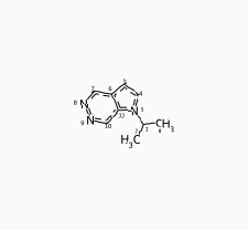 CC(C)n1ccc2cnncc21